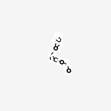 O=C1CCC(N2C(=O)c3ccc(OCCN4CCOC5(CCN(c6ccc(C(=O)OCc7ccccc7)cc6)CC5)C4)cc3C2=O)C(=O)N1